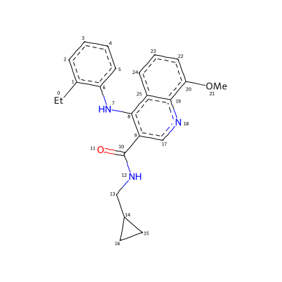 CCc1ccccc1Nc1c(C(=O)NCC2CC2)cnc2c(OC)cccc12